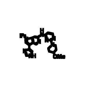 COC1CCN(c2nccc(Nc3cc4c(cn3)c(-c3c[nH]cn3)cn4C(C)C)n2)CC1